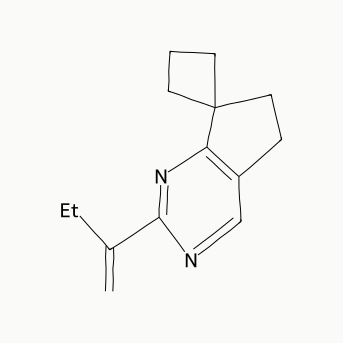 C=C(CC)c1ncc2c(n1)C1(CCC1)CC2